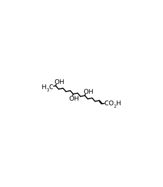 CC(O)CCCCC(O)CCC(O)CCCC=CC(=O)O